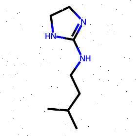 CC(C)CCNC1=NCCN1